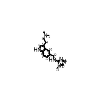 CN(C)CCc1c[nH]c2ccc(CNc3nncn3C)cc12